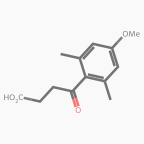 COc1cc(C)c(C(=O)CCC(=O)O)c(C)c1